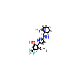 Cc1cc(C(F)(F)F)cc(O)c1-c1ccc(NCC23CCCC(CC2)N3C)nn1